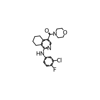 O=C(c1cnc(Nc2ccc(F)c(Cl)c2)c2c1CCCC2)N1CCOCC1